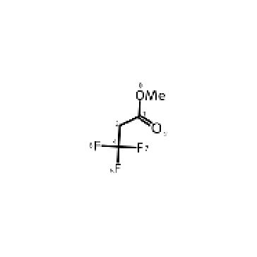 COC(=O)CC(F)(F)F